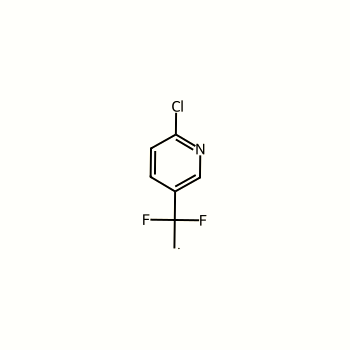 [CH2]C(F)(F)c1ccc(Cl)nc1